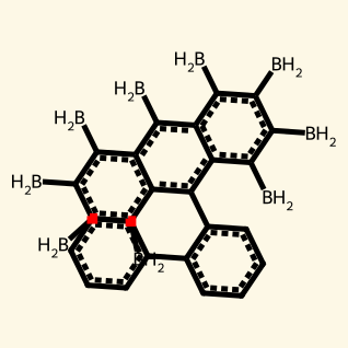 Bc1c(B)c(B)c2c(-c3ccccc3-c3ccccc3)c3c(B)c(B)c(B)c(B)c3c(B)c2c1B